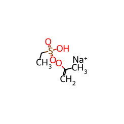 C=C(C)[O-].CCS(=O)(=O)O.[Na+]